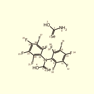 NC(O)=[Se].OC(=[Se])N(c1c(F)c(F)c(F)c(F)c1F)c1c(F)c(F)c(F)c(F)c1F